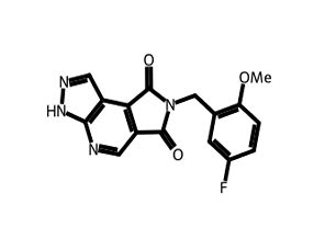 COc1ccc(F)cc1CN1C(=O)c2cnc3[nH]ncc3c2C1=O